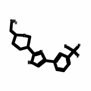 NCC1CCC(c2nc(-c3cccc(C(F)(F)F)c3)c[nH]2)CC1